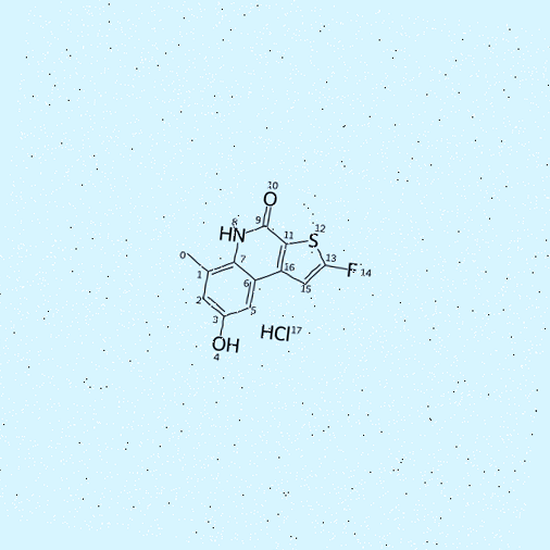 Cc1cc(O)cc2c1[nH]c(=O)c1sc(F)cc12.Cl